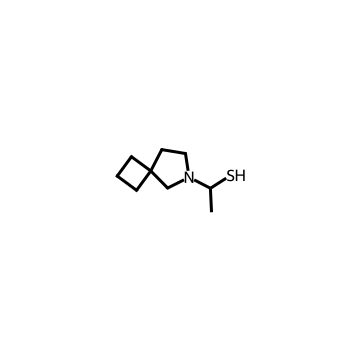 CC(S)N1CCC2(CCC2)C1